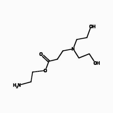 NCCOC(=O)CCN(CCO)CCO